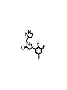 O=C1CC(c2cc(F)cc(F)c2F)CN1CC1=NN=CC1